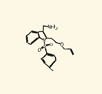 C=CCOCCc1c(CN)c2ccccc2n1S(=O)(=O)c1ccc(C)cc1